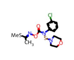 CSC(C)=NOC(=O)N(SN1CCOCC1)c1cccc(Cl)c1